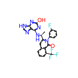 C[C@H](Nc1nc(O)nc2[nH]cnc12)c1cc2cccc(C(F)(F)F)c2c(=O)n1-c1cccc(F)c1